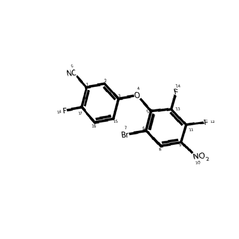 N#Cc1cc(Oc2c(Br)cc([N+](=O)[O-])c(F)c2F)ccc1F